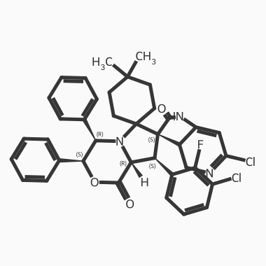 CC1(C)CCC2(CC1)N1[C@H](c3ccccc3)[C@H](c3ccccc3)OC(=O)[C@H]1[C@H](c1cccc(Cl)c1F)[C@@]21C(=O)NC2=CC(Cl)=NCC21